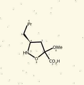 COC1(C(=O)O)C[C@H](CC(C)C)NO1